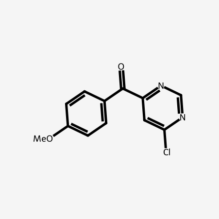 COc1ccc(C(=O)c2cc(Cl)ncn2)cc1